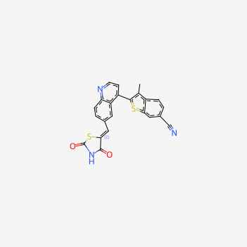 Cc1c(-c2ccnc3ccc(/C=C4\SC(=O)NC4=O)cc23)sc2cc(C#N)ccc12